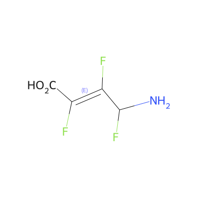 NC(F)/C(F)=C(\F)C(=O)O